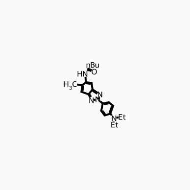 CCCCC(=O)Nc1cc2nn(-c3ccc(N(CC)CC)cc3)nc2cc1C